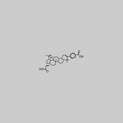 C=C(C)[C@@H]1CC[C@]2(/C=C/C(=O)O)CC[C@]3(C)[C@H](CCC4[C@@]5(C)CC=C(c6ccc(C(=O)O)cc6)C(C)(C)C5CC[C@]43C)C12